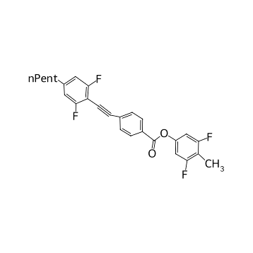 CCCCCc1cc(F)c(C#Cc2ccc(C(=O)Oc3cc(F)c(C)c(F)c3)cc2)c(F)c1